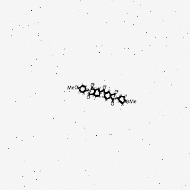 COc1ccc(N2C(=O)c3ccc(C(=O)c4ccc5c(c4)C(=O)N(c4ccc(OC)cc4)C5=O)cc3C2=O)cc1